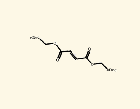 CCCCCCCCCCCOC(=O)/C=C/C(=O)OCCCCCCCCCCC